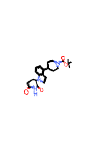 CC(C)(C)OC(=O)N1CCC(c2cccc3c2CCN3C2CCC(=O)NC2=O)CC1